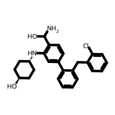 NC(O)c1ccc(-c2ccccc2Cc2ccccc2Cl)cc1N[C@H]1CC[C@H](O)CC1